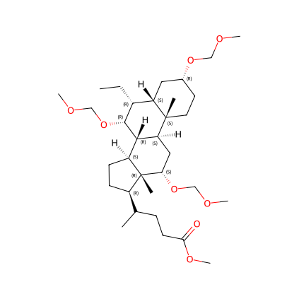 CC[C@H]1[C@@H](OCOC)[C@@H]2[C@H](C[C@H](OCOC)[C@]3(C)[C@@H](C(C)CCC(=O)OC)CC[C@@H]23)[C@@]2(C)CC[C@@H](OCOC)C[C@@H]12